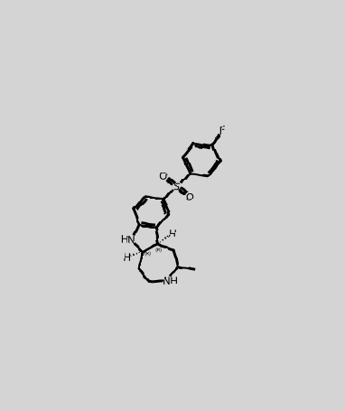 CC1C[C@@H]2c3cc(S(=O)(=O)c4ccc(F)cc4)ccc3N[C@@H]2CCN1